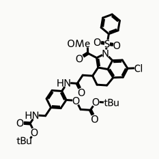 COC(=O)c1c2c3c(cc(Cl)cc3n1S(=O)(=O)c1ccccc1)CCC2CC(=O)Nc1ccc(CNC(=O)OC(C)(C)C)cc1OCC(=O)OC(C)(C)C